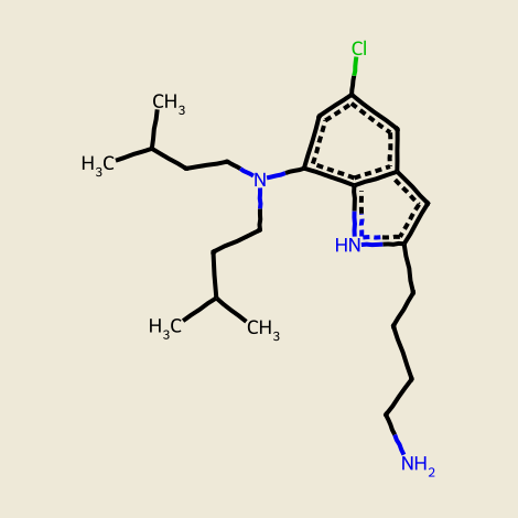 CC(C)CCN(CCC(C)C)c1cc(Cl)cc2cc(CCCCN)[nH]c12